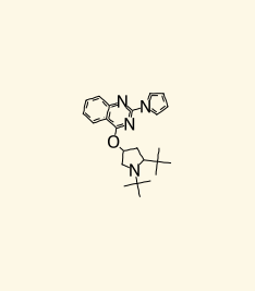 CC(C)(C)C1CC(Oc2nc(-n3cccc3)nc3ccccc23)CN1C(C)(C)C